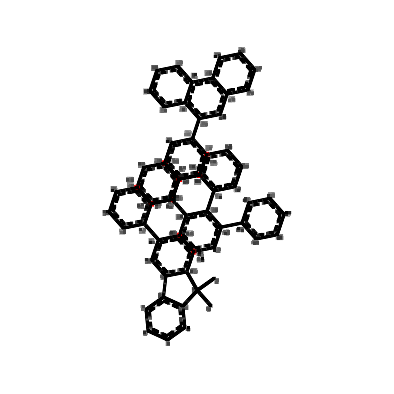 CC1(C)c2ccccc2-c2cc(-c3ccccc3N(c3ccc(-c4cc5ccccc5c5ccccc45)cc3)c3cccc(-c4ccccc4)c3-c3ccccc3-c3ccccc3)ccc21